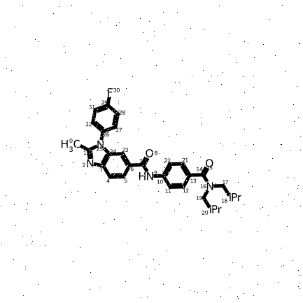 Cc1nc2ccc(C(=O)Nc3ccc(C(=O)N(CC(C)C)CC(C)C)cc3)cc2n1-c1ccc(F)cc1